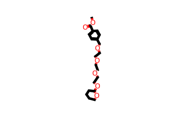 COC(=O)c1ccc(COCCOCCOCCOC2CCCCO2)cc1